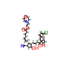 N#C[C@@H]1C[C@@H](O)[C@H](/C=C/CC(O)C2(Cc3ccc(Cl)s3)CCC2)[C@H]1C/C=C\CCCC(=O)OCCN1CCOCC1